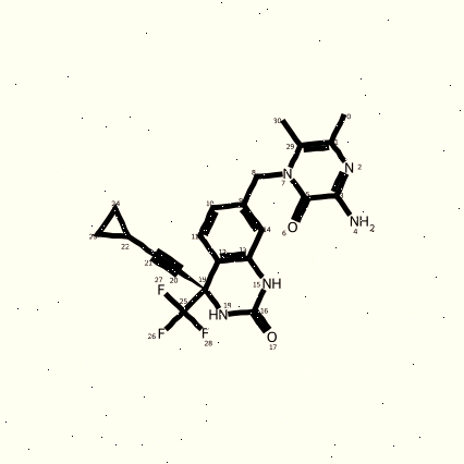 Cc1nc(N)c(=O)n(Cc2ccc3c(c2)NC(=O)N[C@]3(C#CC2CC2)C(F)(F)F)c1C